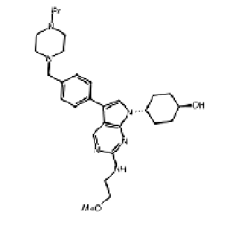 COCCNc1ncc2c(-c3ccc(CN4CCN(C(C)C)CC4)cc3)cn([C@H]3CC[C@H](O)CC3)c2n1